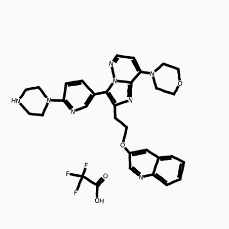 O=C(O)C(F)(F)F.c1ccc2ncc(OCCc3nc4c(N5CCOCC5)ccnn4c3-c3ccc(N4CCNCC4)nc3)cc2c1